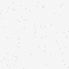 CC1(C)CCSc2c(C3CC3)cc(C=O)cc21